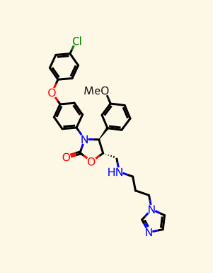 COc1cccc([C@H]2[C@H](CNCCCn3ccnc3)OC(=O)N2c2ccc(Oc3ccc(Cl)cc3)cc2)c1